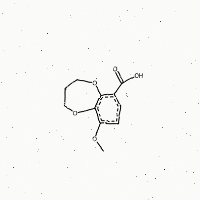 COc1ccc(C(=O)O)c2c1OCCCO2